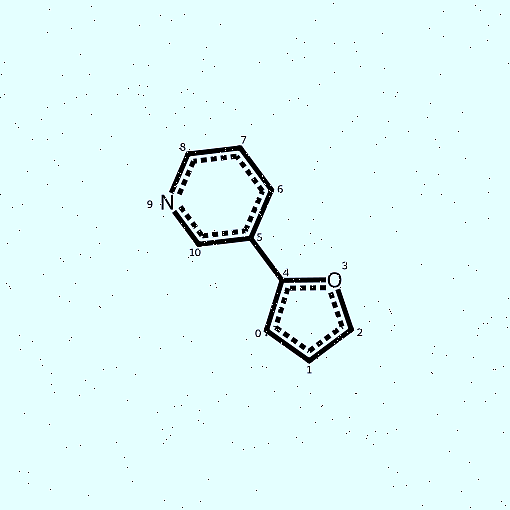 [c]1ccoc1-c1cccnc1